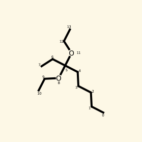 CCCCCC(CC)(OCC)OCC